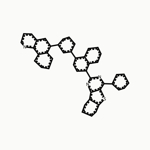 c1ccc(-c2nc(-c3ccc(-c4cccc(-c5cc6cccnc6c6ccccc56)c4)c4ccccc34)nc3c2sc2ccccc23)cc1